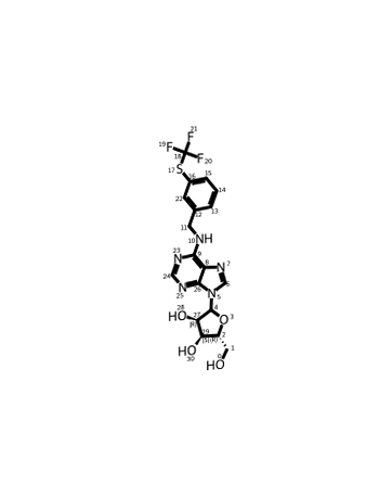 OC[C@H]1OC(n2cnc3c(NCc4cccc(SC(F)(F)F)c4)ncnc32)[C@H](O)[C@@H]1O